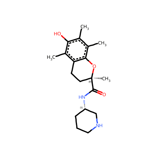 Cc1c(C)c2c(c(C)c1O)CC[C@](C)(C(=O)N[C@H]1CCCNC1)O2